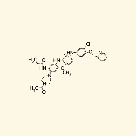 C=CC(=O)Nc1cc(Nc2nccc(Nc3ccc(OCc4ccccn4)c(Cl)c3)n2)c(OC)cc1N1CCN(C(C)=O)CC1